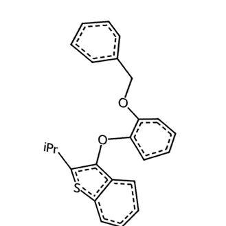 CC(C)c1sc2ccccc2c1Oc1ccccc1OCc1ccccc1